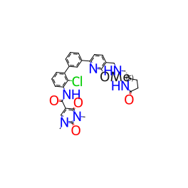 COc1nc(-c2cccc(-c3cccc(NC(=O)c4cn(C)c(=O)n(C)c4=O)c3Cl)c2)ccc1CNC[C@@H]1CCC(=O)N1